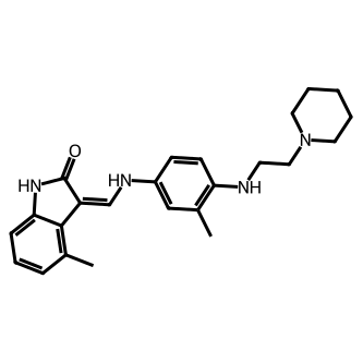 Cc1cc(NC=C2C(=O)Nc3cccc(C)c32)ccc1NCCN1CCCCC1